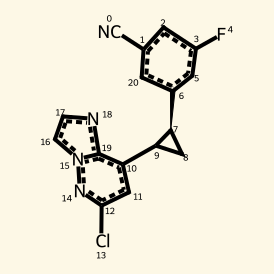 N#Cc1cc(F)cc([C@H]2CC2c2cc(Cl)nn3ccnc23)c1